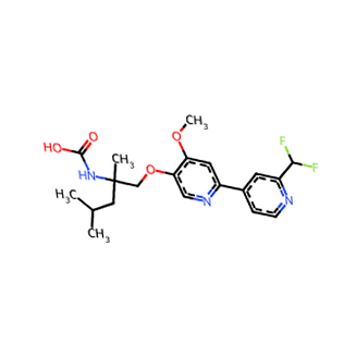 COc1cc(-c2ccnc(C(F)F)c2)ncc1OCC(C)(CC(C)C)NC(=O)O